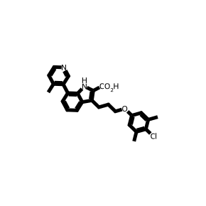 Cc1ccncc1-c1cccc2c(CCCOc3cc(C)c(Cl)c(C)c3)c(C(=O)O)[nH]c12